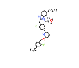 Cc1ccc(COc2cccc(-c3ccc(Cc4nc5ccc(C(=O)O)cc5n4C[C@@]4(C)CCO4)c(F)c3)n2)c(F)c1